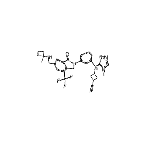 Cn1cnnc1[C@H](c1cccc(N2Cc3c(cc(CNC4(C)CCC4)cc3C(F)(F)F)C2=O)c1)C1CC(C#N)C1